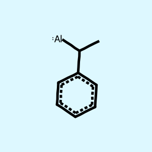 C[CH]([Al])c1ccccc1